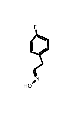 ON=CCc1ccc(F)cc1